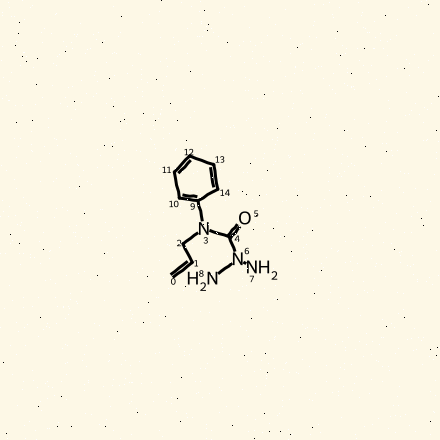 C=CCN(C(=O)N(N)N)c1ccccc1